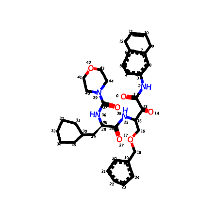 O=C(Nc1ccc2c(c1)CC=CC2)C(=O)C(COCc1ccccc1)NC(=O)[C@@H](CC1CCCCC1)NC(=O)N1CCOCC1